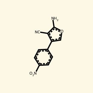 N#Cc1c(-c2ccc([N+](=O)[O-])cc2)coc1N